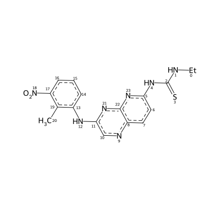 CCNC(=S)Nc1ccc2ncc(Nc3cccc([N+](=O)[O-])c3C)nc2n1